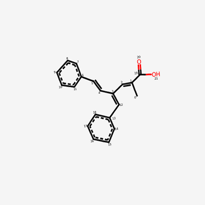 CC(=CC(C=Cc1ccccc1)=Cc1ccccc1)C(=O)O